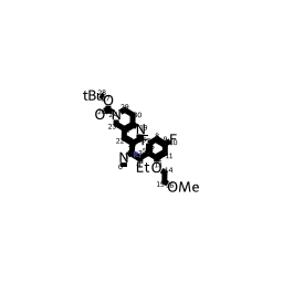 C=N/C(=C(\CC)c1c(F)cc(F)cc1OCCOC)c1cnc2c(c1)CN(C(=O)OC(C)(C)C)CC2